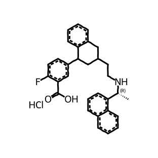 C[C@@H](NCCC1Cc2ccccc2C(c2ccc(F)c(C(=O)O)c2)C1)c1cccc2ccccc12.Cl